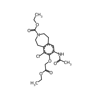 CCOC(=O)COc1c(NC(C)=O)cc2c(c1Cl)CCN(C(=O)OCC)CC2